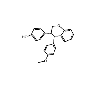 COc1ccc(C2c3ccccc3OCC2c2ccc(O)cc2)cc1